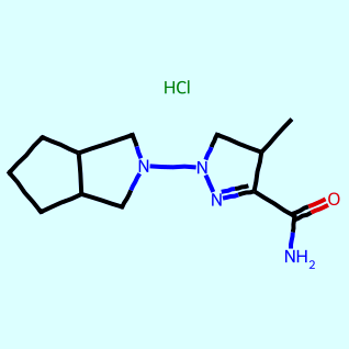 CC1CN(N2CC3CCCC3C2)N=C1C(N)=O.Cl